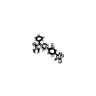 CCN(CC)C(=O)C(c1ccccc1)N1CCN(c2ccc(-c3noc(=O)n3C)cc2F)CC1